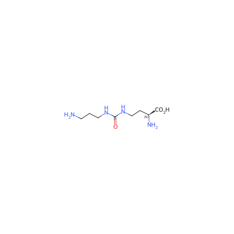 NCCCNC(=O)NCC[C@H](N)C(=O)O